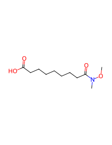 CON(C)C(=O)CCCCCCCC(=O)O